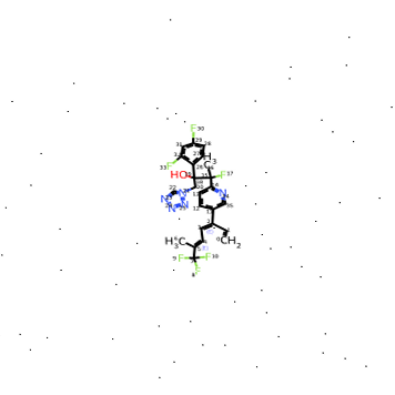 C=C/C(=C\C=C(/C)C(F)(F)F)c1ccc(C(C)(F)C(O)(Cn2cnnn2)c2ccc(F)cc2F)nc1